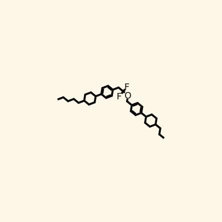 CCCCCC1CCC(c2ccc(CC(F)(F)OCc3ccc(C4CCC(CCC)CC4)cc3)cc2)CC1